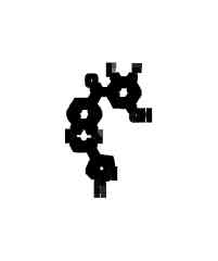 O=C(c1ccc2ncc(-c3cn[nH]c3)nc2c1)c1cc(O)cc(F)c1F